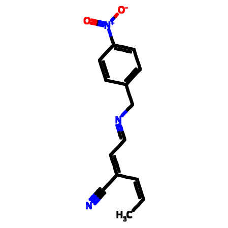 C\C=C/C(C#N)=C\C=N\Cc1ccc([N+](=O)[O-])cc1